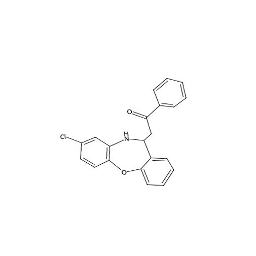 O=C(CC1Nc2cc(Cl)ccc2Oc2ccccc21)c1ccccc1